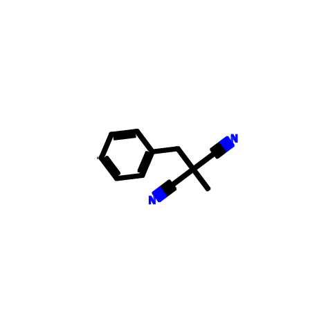 CC(C#N)(C#N)Cc1cc[c]cc1